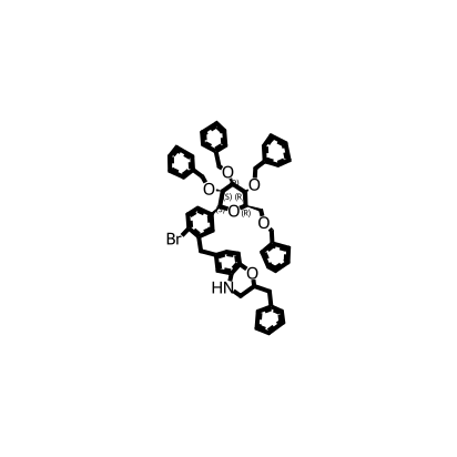 Brc1ccc([C@@H]2O[C@H](COCc3ccccc3)[C@@H](OCc3ccccc3)[C@H](OCc3ccccc3)[C@H]2OCc2ccccc2)cc1Cc1ccc2c(c1)NCC(Cc1ccccc1)O2